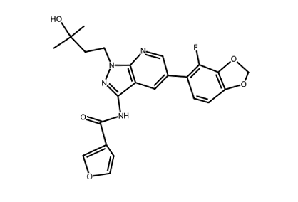 CC(C)(O)CCn1nc(NC(=O)c2ccoc2)c2cc(-c3ccc4c(c3F)OCO4)cnc21